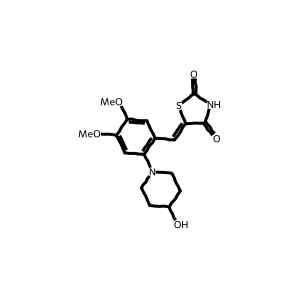 COc1cc(/C=C2\SC(=O)NC2=O)c(N2CCC(O)CC2)cc1OC